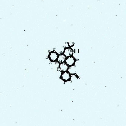 C=Cc1cccc2c1-c1ccc3c(c1C(c1ccccc1)O2)C(C)CC(C)(C)N3